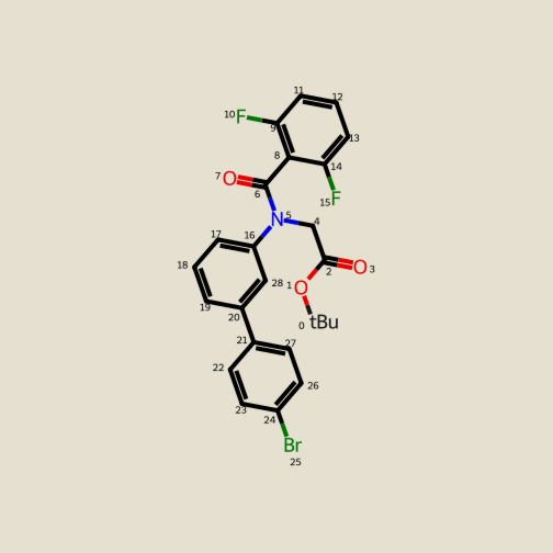 CC(C)(C)OC(=O)CN(C(=O)c1c(F)cccc1F)c1cccc(-c2ccc(Br)cc2)c1